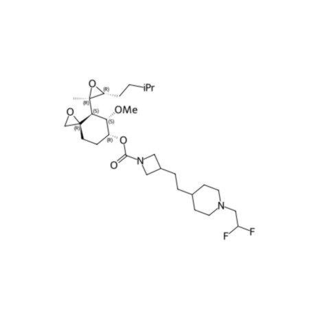 CO[C@@H]1[C@H](OC(=O)N2CC(CCC3CCN(CC(F)F)CC3)C2)CC[C@]2(CO2)[C@H]1[C@@]1(C)O[C@@H]1CCC(C)C